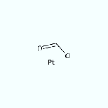 O=CCl.[Pt]